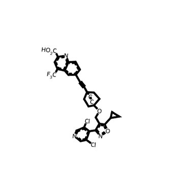 O=C(O)c1cc(C(F)(F)F)c2cc(C#CC34CCC(OCc5c(-c6c(Cl)cncc6Cl)noc5C5CC5)(CC3)CC4)ccc2n1